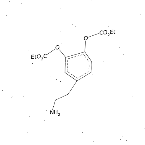 CCOC(=O)Oc1ccc(CCN)cc1OC(=O)OCC